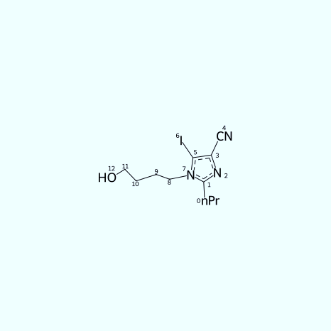 CCCc1nc(C#N)c(I)n1CCCCO